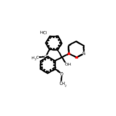 COc1ccccc1C(O)(c1ccccc1OC)C1CN2CCC1CC2.Cl